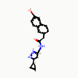 O=C(Cc1ccc2cc(O)ccc2c1)Nc1cc(C2CC2)[nH]n1